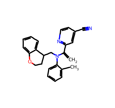 C=C(c1cc(C#N)ccn1)N(CC1CCOc2ccccc21)c1ccccc1C